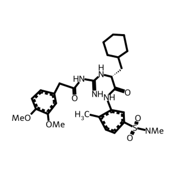 CNS(=O)(=O)c1ccc(C)c(NC(=O)[C@@H](CC2CCCCC2)NC(=N)NC(=O)Cc2ccc(OC)c(OC)c2)c1